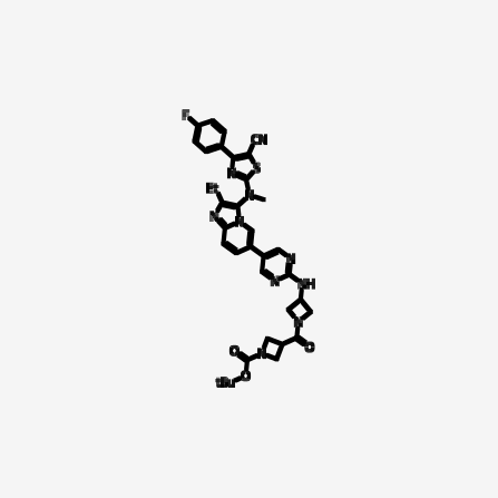 CCc1nc2ccc(-c3cnc(NC4CN(C(=O)C5CN(C(=O)OC(C)(C)C)C5)C4)nc3)cn2c1N(C)c1nc(-c2ccc(F)cc2)c(C#N)s1